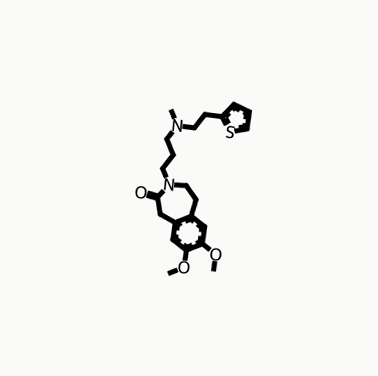 COc1cc2c(cc1OC)CC(=O)N(CCCN(C)CCc1cccs1)CC2